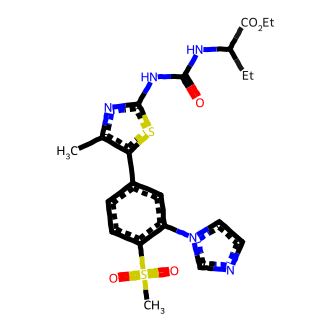 CCOC(=O)C(CC)NC(=O)Nc1nc(C)c(-c2ccc(S(C)(=O)=O)c(-n3ccnc3)c2)s1